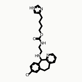 O=C(NCCNC1c2ccc(Cl)cc2CCc2cccnc21)OCCCCc1c[nH]cn1